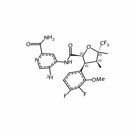 [2H]c1cnc(C(N)=O)cc1NC(=O)[C@H]1O[C@](C)(C(F)(F)F)[C@@H](C)[C@H]1c1ccc(F)c(F)c1OC